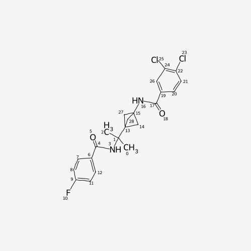 CC(C)(NC(=O)c1ccc(F)cc1)C12CC(NC(=O)c3ccc(Cl)c(Cl)c3)(C1)C2